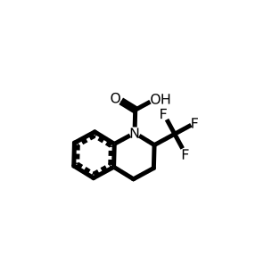 O=C(O)N1c2ccccc2CCC1C(F)(F)F